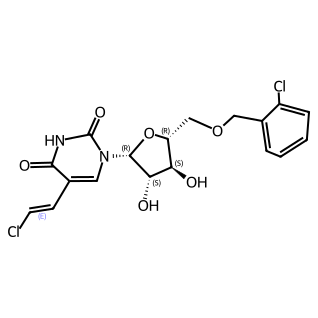 O=c1[nH]c(=O)n([C@@H]2O[C@H](COCc3ccccc3Cl)[C@@H](O)[C@@H]2O)cc1/C=C/Cl